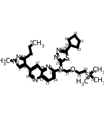 CCCc1nn(C)cc1-c1cnc2ccc(N(COCC[Si](C)(C)C)c3nnc(C4CCCC4)s3)nc2c1